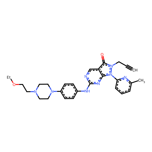 C#CCn1c(=O)c2cnc(Nc3ccc(N4CCN(CCOCC)CC4)cc3)nc2n1-c1cccc(C)n1